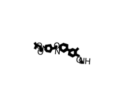 CNOCc1ccc(-c2ccc3oc(C4CCN(C(=O)OC(C)C)CC4)nc3c2)cc1C